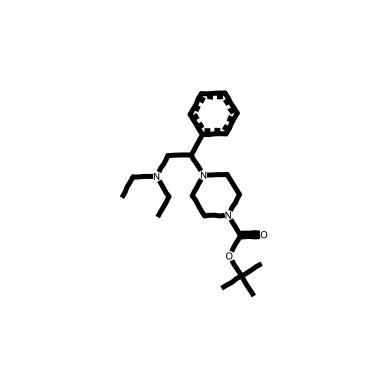 CCN(CC)CC(c1ccccc1)N1CCN(C(=O)OC(C)(C)C)CC1